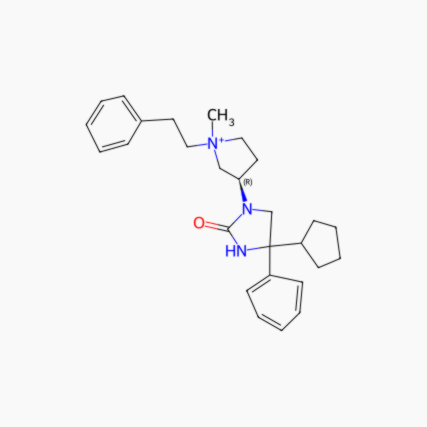 C[N+]1(CCc2ccccc2)CC[C@@H](N2CC(c3ccccc3)(C3CCCC3)NC2=O)C1